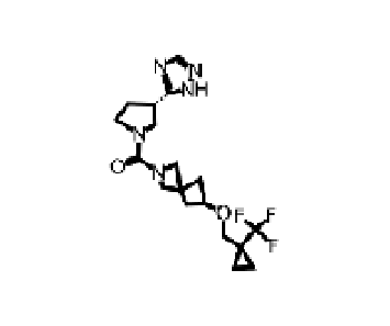 O=C(N1CC[C@H](c2ncn[nH]2)C1)N1CC2(CC(OCC3(C(F)(F)F)CC3)C2)C1